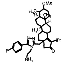 COC1CCC2(C)[C@@H](CCC3(C)C4CCC5(Cc6nnc(-c7ccc(F)cc7)n6CCN)CC(=O)C(C(C)C)=C5C4CC[C@@H]32)C1C